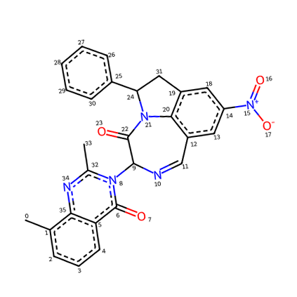 Cc1cccc2c(=O)n(C3N=Cc4cc([N+](=O)[O-])cc5c4N(C3=O)C(c3ccccc3)C5)c(C)nc12